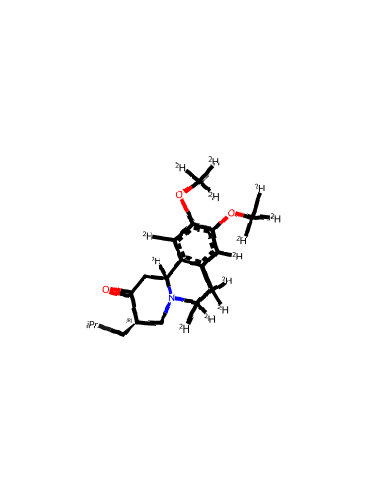 [2H]c1c(OC([2H])([2H])[2H])c(OC([2H])([2H])[2H])c([2H])c2c1C1([2H])CC(=O)[C@H](CC(C)C)CN1C([2H])([2H])C2([2H])[2H]